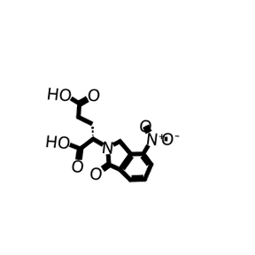 O=C(O)CC[C@@H](C(=O)O)N1Cc2c(cccc2[N+](=O)[O-])C1=O